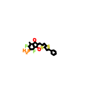 Cc1c(F)c(P)c(F)c2c1C(=O)/C(=C/c1cc3sc(-c4ccccc4)cc3s1)C2=O